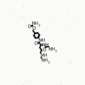 NCNCCCC(NC(=O)CN)C(=O)Nc1ccc(COC(N)=O)cc1